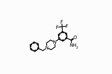 NC(=O)c1cc(N2CCN(Cc3ccccc3)CC2)cc(C(F)(F)F)c1